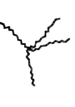 CCCCCCCCCCCCC[N+](CCCCCCCCCCCC)(CCCCCCCCCCCC)CCCCCCCCCCCC